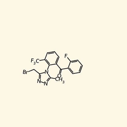 Cc1nnc(CBr)n1-c1c(C(=O)c2ccccc2F)cccc1C(F)(F)F